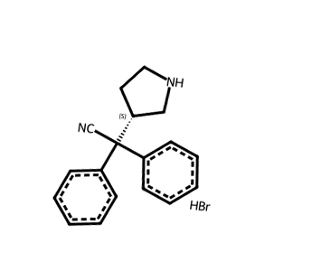 Br.N#CC(c1ccccc1)(c1ccccc1)[C@@H]1CCNC1